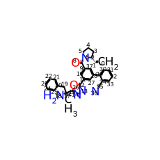 C=C[C@H]1CCCN1C(=O)c1cc(-c2nnc([C@](C)(N)Cc3ccccc3)o2)cc(-c2ccccc2C#N)c1